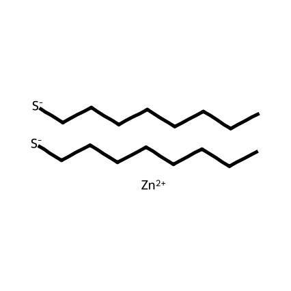 CCCCCCCC[S-].CCCCCCCC[S-].[Zn+2]